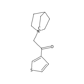 O=C(C[N+]12CCC(CC1)CC2)c1ccsc1